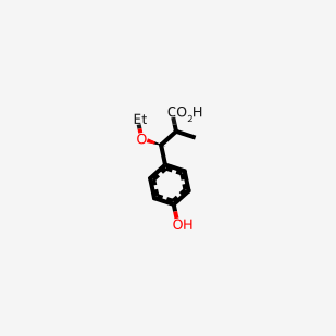 CCO[C@H](c1ccc(O)cc1)C(C)C(=O)O